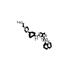 O=S(=O)(c1cccc2cccnc12)n1ncc2cnc(Nc3ccc(N4CCN(CCO)CC4)cc3)nc21